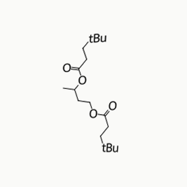 CC(CCOC(=O)CCC(C)(C)C)OC(=O)CCC(C)(C)C